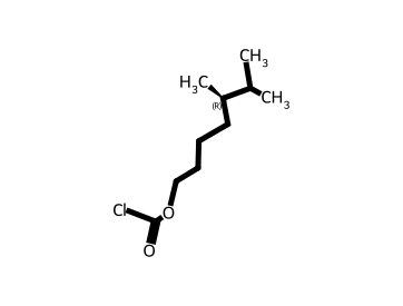 CC(C)[C@H](C)CCCCOC(=O)Cl